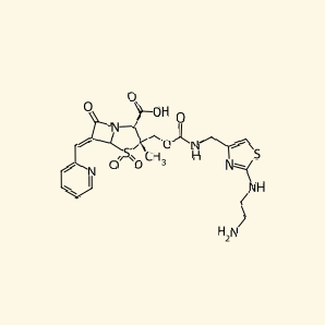 C[C@]1(COC(=O)NCc2csc(NCCN)n2)[C@H](C(=O)O)N2C(=O)/C(=C/c3ccccn3)C2S1(=O)=O